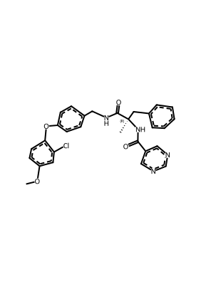 COc1ccc(Oc2ccc(CNC(=O)[C@@](C)(Cc3ccccc3)NC(=O)c3cncnc3)cc2)c(Cl)c1